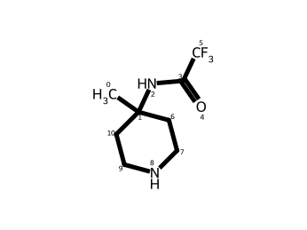 CC1(NC(=O)C(F)(F)F)CCNCC1